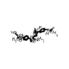 CC(CF)NCc1ccc(-c2cc(-c3nc(-c4ccc(S(=O)(=O)C(C)CCO)cc4)cnc3N)on2)c(F)c1